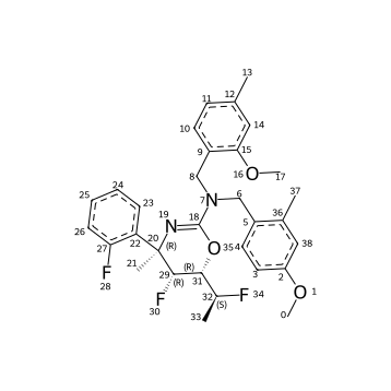 COc1ccc(CN(Cc2ccc(C)cc2OC)C2=N[C@](C)(c3ccccc3F)[C@@H](F)[C@@H]([C@H](C)F)O2)c(C)c1